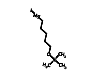 C[Si](C)(C)OCCCC[CH2][Mg][I]